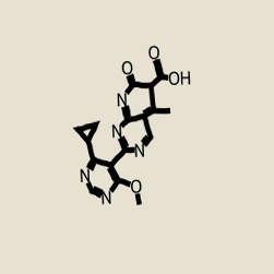 COc1ncnc(C2CC2)c1-c1ncc2c(n1)=NC(=O)C(C(=O)O)C=2C